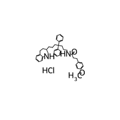 COc1ccc(CCC(=O)NCCCC(CCCC2CCc3ccccc3NC2)(c2ccccc2)c2ccccc2)cc1.Cl